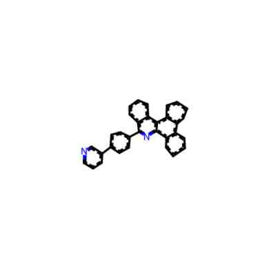 c1cncc(-c2ccc(-c3nc4c5ccccc5c5ccccc5c4c4ccccc34)cc2)c1